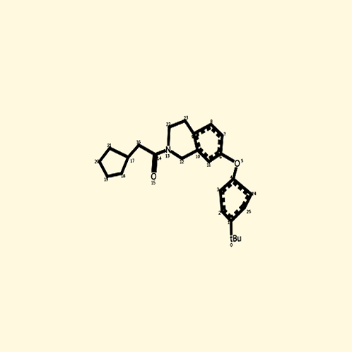 CC(C)(C)c1ccc(Oc2ccc3c(c2)CN(C(=O)CC2CCCC2)CC3)cc1